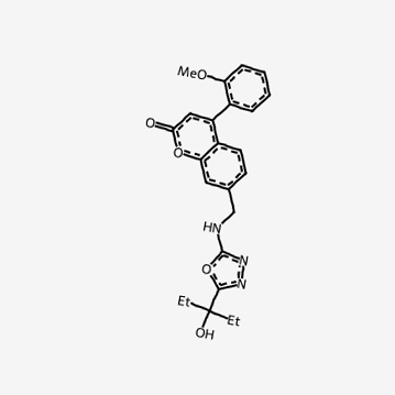 CCC(O)(CC)c1nnc(NCc2ccc3c(-c4ccccc4OC)cc(=O)oc3c2)o1